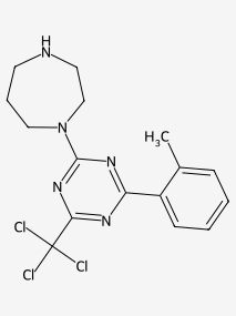 Cc1ccccc1-c1nc(N2CCCNCC2)nc(C(Cl)(Cl)Cl)n1